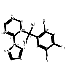 [2H]C([2H])(c1cc(F)c(F)cc1F)N1CN=CN=C1n1cccn1